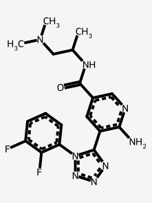 CC(CN(C)C)NC(=O)c1cnc(N)c(-c2nnnn2-c2cccc(F)c2F)c1